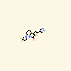 O=c1[nH]c2c(c3cc(-c4cn[nH]c4)sc13)CCC[C@H]2N1CCC(F)(F)C1